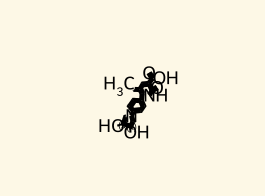 CCc1cc(C(=O)O)c(=O)[nH]c1-c1ccc(N2C[C@@H](O)[C@@H](O)C2)cc1